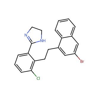 Clc1cccc(C2=NCCN2)c1CCc1cc(Br)cc2ccccc12